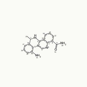 CC(Nc1ncnc2c(C(N)=O)cccc12)c1cccc(N)c1